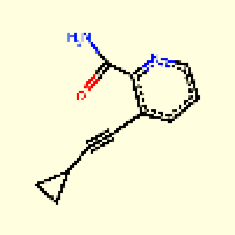 NC(=O)c1ncccc1C#CC1CC1